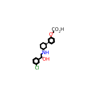 O=C(O)COc1cccc([C@@H]2CCC[C@@H](NC[C@H](O)c3cccc(Cl)c3)C2)c1